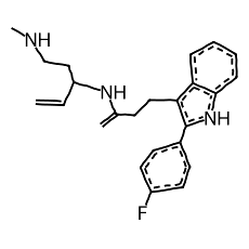 C=CC(CCNC)NC(=C)CCc1c(-c2ccc(F)cc2)[nH]c2ccccc12